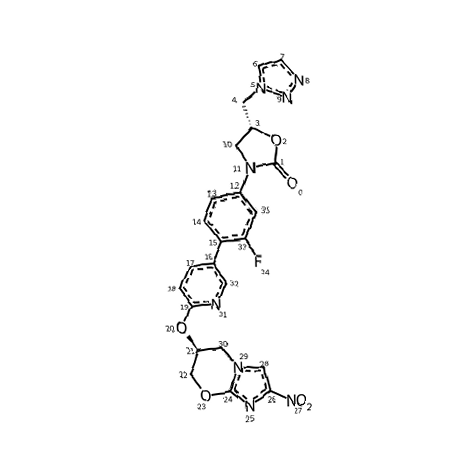 O=C1O[C@@H](Cn2ccnn2)CN1c1ccc(-c2ccc(O[C@@H]3COc4nc([N+](=O)[O-])cn4C3)nc2)c(F)c1